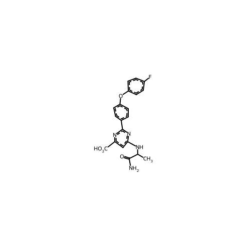 CC(Nc1cc(C(=O)O)nc(-c2ccc(Oc3ccc(F)cc3)cc2)n1)C(N)=O